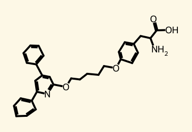 NC(Cc1ccc(OCCCCCOc2cc(-c3ccccc3)cc(-c3ccccc3)n2)cc1)C(=O)O